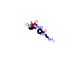 NCCCNC(=O)c1cccc(NN2C=NC34CC(=O)CC=C3N(Cl)C=CC=C4C2)c1